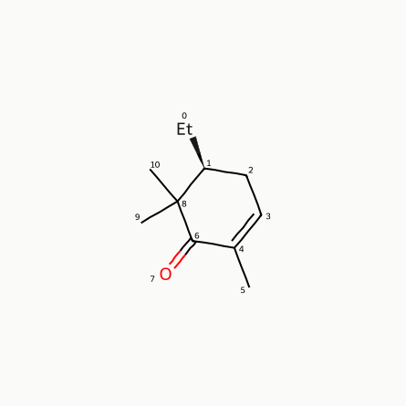 CC[C@H]1CC=C(C)C(=O)C1(C)C